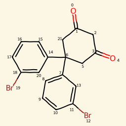 O=C1CC(=O)CC(c2cccc(Br)c2)(c2cccc(Br)c2)C1